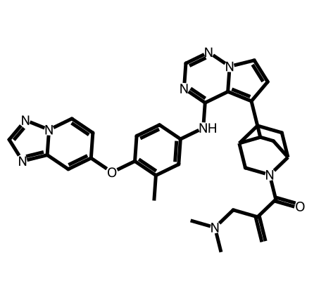 C=C(CN(C)C)C(=O)N1CC2CCC1CC2c1ccn2ncnc(Nc3ccc(Oc4ccn5ncnc5c4)c(C)c3)c12